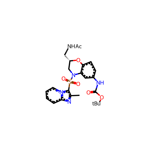 CC(=O)NC[C@H]1CN(S(=O)(=O)c2c(C)nc3ccccn23)c2cc(NC(=O)OC(C)(C)C)ccc2O1